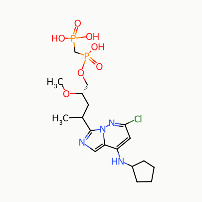 CO[C@H](COP(=O)(O)CP(=O)(O)O)CC(C)c1ncc2c(NC3CCCC3)cc(Cl)nn12